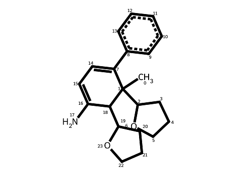 CC1(C2CCCO2)C(c2ccccc2)=CC=C(N)C1C1CCCO1